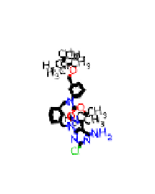 CC(C)(C)OC(=O)N(Cc1cccc(Cn2ncc3c(N)nc(Cl)nc32)c1)c1cccc(CO[Si](C)(C)C(C)(C)C)c1